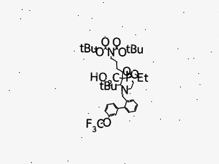 CCOP1(=O)CCN(Cc2ccccc2-c2cccc(OC(F)(F)F)c2)C(C(C)(C)C)C1(CCCCN(C(=O)OC(C)(C)C)C(=O)OC(C)(C)C)C(=O)O